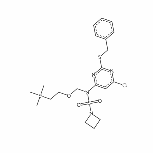 C[Si](C)(C)CCOCN(c1cc(Cl)nc(SCc2ccccc2)n1)S(=O)(=O)N1CCC1